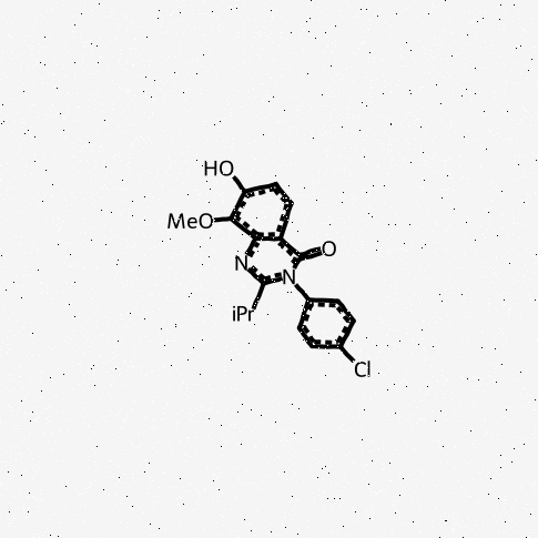 COc1c(O)ccc2c(=O)n(-c3ccc(Cl)cc3)c(C(C)C)nc12